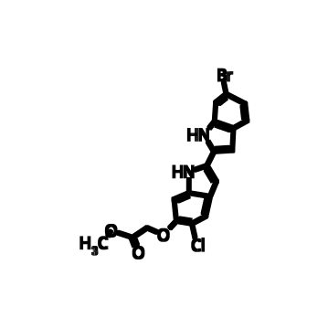 COC(=O)COc1cc2[nH]c(-c3cc4ccc(Br)cc4[nH]3)cc2cc1Cl